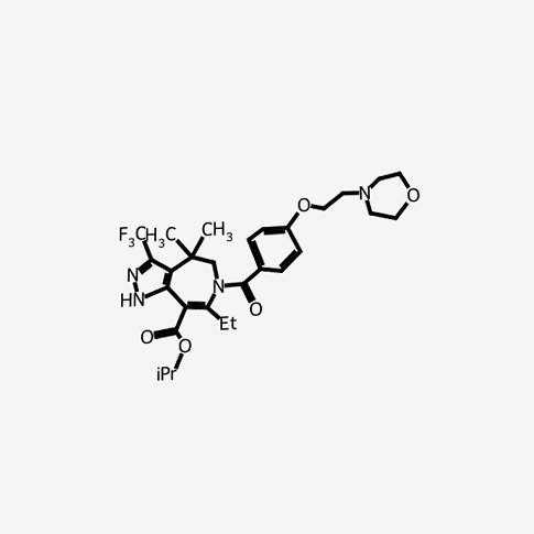 CCC1=C(C(=O)OC(C)C)c2[nH]nc(C(F)(F)F)c2C(C)(C)CN1C(=O)c1ccc(OCCN2CCOCC2)cc1